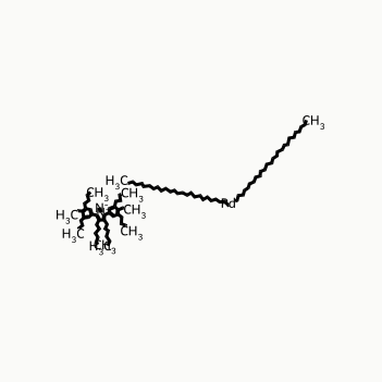 CCCCCCC1=C(c2cc(CCCC)c(CC)c(CCCC)c2)[N+](=[N-])C(c2cc(CCCC)c(CC)c(CCCC)c2)=C1CCCCCC.CCCCCCCCCCCCCCCCCCCCCCCCC[CH2][Pd][CH2]CCCCCCCCCCCCCCCCCCCCCCCCC